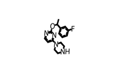 CC(Oc1nccc(N2CCNCC2)n1)c1cccc(F)c1